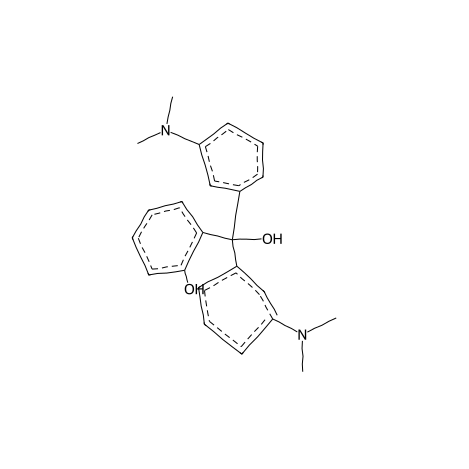 CN(C)c1cccc(C(O)(c2cccc(N(C)C)c2)c2ccccc2O)c1